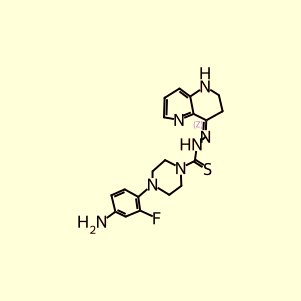 Nc1ccc(N2CCN(C(=S)N/N=C3/CCNc4cccnc43)CC2)c(F)c1